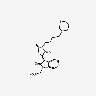 C=c1s/c(=C2\C(=O)N(CC(=O)O)c3ccccc32)c(=O)n1CCCCC1CCCCC1